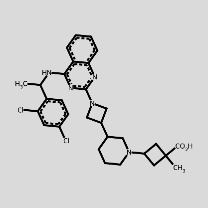 CC(Nc1nc(N2CC(C3CCCN(C4CC(C)(C(=O)O)C4)C3)C2)nc2ccccc12)c1ccc(Cl)cc1Cl